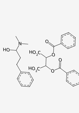 CN(C)C(O)CCc1ccccc1.O=C(OC(C(=O)O)C(OC(=O)c1ccccc1)C(=O)O)c1ccccc1